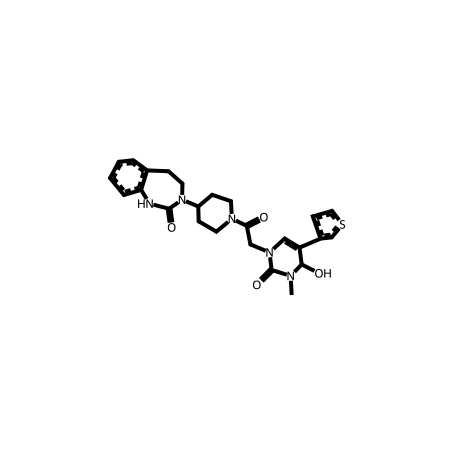 CN1C(=O)N(CC(=O)N2CCC(N3CCc4ccccc4NC3=O)CC2)C=C(c2ccsc2)C1O